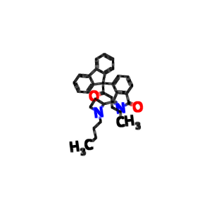 CCCCC(=O)C1(c2cccc3c2C(C2CCN2CCCC)=NC3=O)c2ccccc2-c2ccccc21